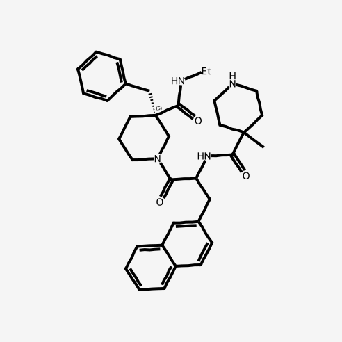 CCNC(=O)[C@]1(Cc2ccccc2)CCCN(C(=O)C(Cc2ccc3ccccc3c2)NC(=O)C2(C)CCNCC2)C1